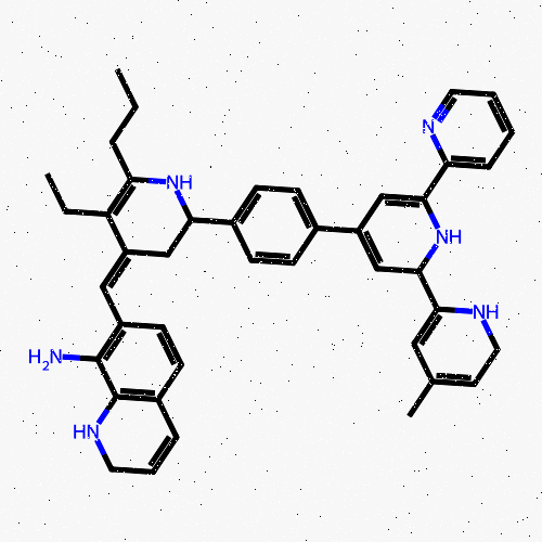 CCCC1=C(CC)/C(=C/c2ccc3c(c2N)NCC=C3)CC(c2ccc(C3=CC(C4=CC(C)=CCN4)NC(c4ccccn4)=C3)cc2)N1